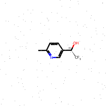 Cc1ccc([C@H](O)C(F)(F)F)cn1